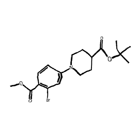 COC(=O)c1ccc(N2CCC(C(=O)OC(C)(C)C)CC2)cc1Br